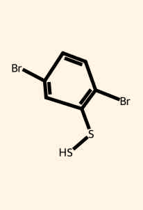 SSc1cc(Br)ccc1Br